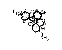 NC[C@@H]1CCC[C@@]2(S(=O)(=O)c3ccc(C(F)(F)F)cc3)c3c(F)ccc(F)c3OC[C@@H]12